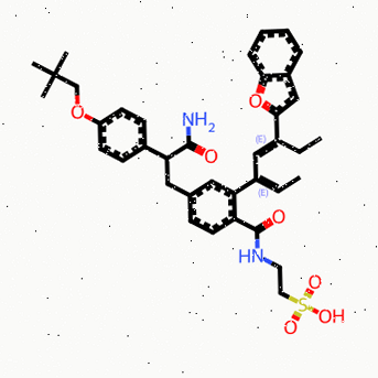 C/C=C(\C=C(/CC)c1cc2ccccc2o1)c1cc(CC(C(N)=O)c2ccc(OCC(C)(C)C)cc2)ccc1C(=O)NCCS(=O)(=O)O